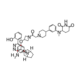 CN(c1cccc(C2CCN(CC(=O)N3CC(Oc4cccc(N5[C@@H]6CC[C@H]5CN(c5cc(-c7ccccc7O)nnc5N)C6)c4)C3)CC2)c1)C1CCC(=O)NC1=O